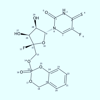 O=c1[nH]c(=S)c(F)cn1[C@@H]1O[C@](F)(COP2(=O)OCc3ccccc3O2)[C@@H](O)[C@H]1O